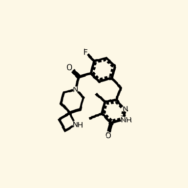 Cc1c(Cc2ccc(F)c(C(=O)N3CCC4(CCN4)CC3)c2)n[nH]c(=O)c1C